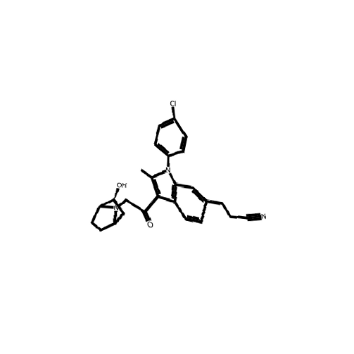 Cc1c(C(=O)CN2C3CCC2[C@@H](O)C3)c2ccc(CCC#N)cc2n1-c1ccc(Cl)cc1